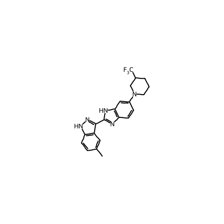 Cc1ccc2[nH]nc(-c3nc4ccc(N5CCCC(C(F)(F)F)C5)cc4[nH]3)c2c1